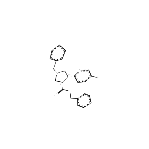 O=C(OCc1ccccc1)[C@H]1CN(Cc2ccccc2)C[C@@H]1c1ccc(F)cn1